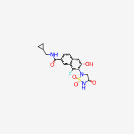 O=C1CN(c2c(O)cc3ccc(C(=O)NCC4CC4)cc3c2F)S(=O)(=O)N1